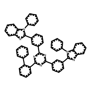 c1ccc(-c2ccccc2-c2nc(-c3cccc(-c4nc5ccccc5n4-c4ccccc4)c3)nc(-c3cccc(-c4nc5ccccc5n4-c4ccccc4)c3)n2)cc1